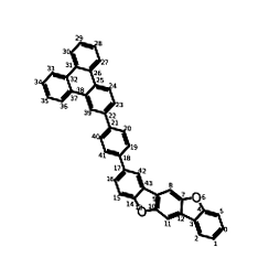 c1ccc2c(c1)oc1cc3c(cc12)oc1ccc(-c2ccc(-c4ccc5c6ccccc6c6ccccc6c5c4)cc2)cc13